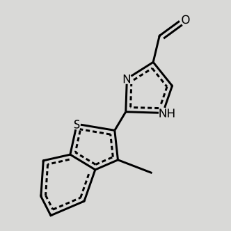 Cc1c(-c2nc(C=O)c[nH]2)sc2ccccc12